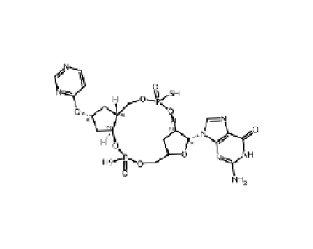 Nc1nc2c(ncn2[C@@H]2OC3COP(=O)(S)O[C@H]4C[C@H](Oc5ccncn5)C[C@@H]4COP(=O)(S)O[C@@H]2C3)c(=O)[nH]1